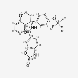 O=C(NC1(c2ccc(OC(F)(F)F)cc2)CCOc2cccnc21)c1ccc2[nH]c(=O)oc2c1